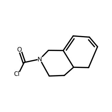 O=C(Cl)N1CCC2CC=CC=C2C1